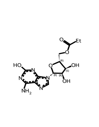 CCC(=O)OC[C@H]1O[C@@H](n2cnc3c(N)nc(O)nc32)[C@H](O)[C@@H]1O